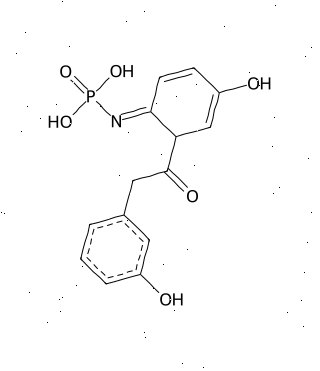 O=C(Cc1cccc(O)c1)C1C=C(O)C=CC1=NP(=O)(O)O